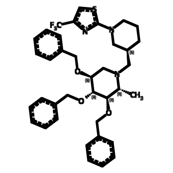 C[C@@H]1[C@@H](OCc2ccccc2)[C@H](OCc2ccccc2)[C@@H](OCc2ccccc2)CN1C[C@@H]1CCCN(c2nc(C(F)(F)F)cs2)C1